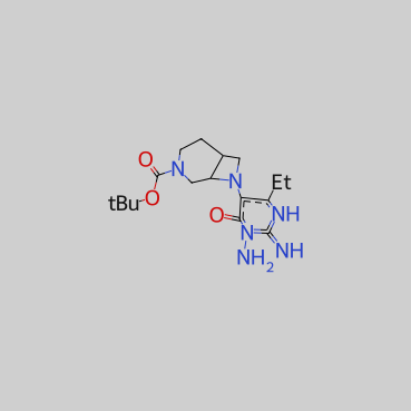 CCc1[nH]c(=N)n(N)c(=O)c1N1CC2CCN(C(=O)OC(C)(C)C)CC21